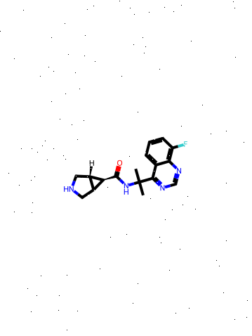 CC(C)(NC(=O)[C@H]1C2CNC[C@@H]21)c1ncnc2c(F)cccc12